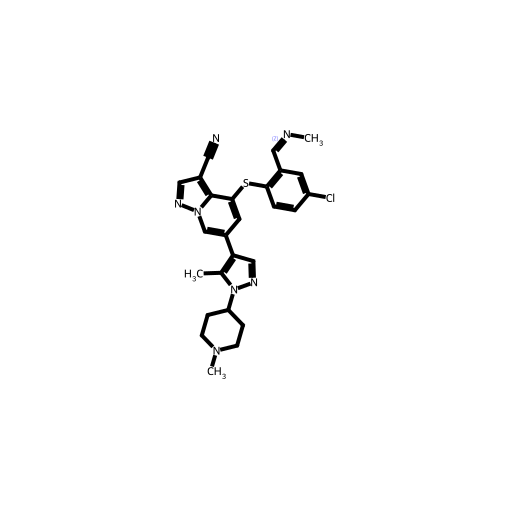 C/N=C\c1cc(Cl)ccc1Sc1cc(-c2cnn(C3CCN(C)CC3)c2C)cn2ncc(C#N)c12